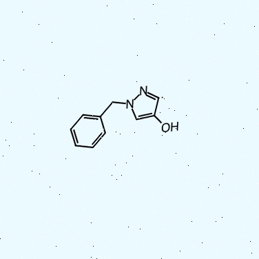 Oc1[c]nn(Cc2ccccc2)c1